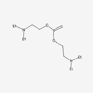 C=C(OCCN(CC)CC)OCCN(CC)CC